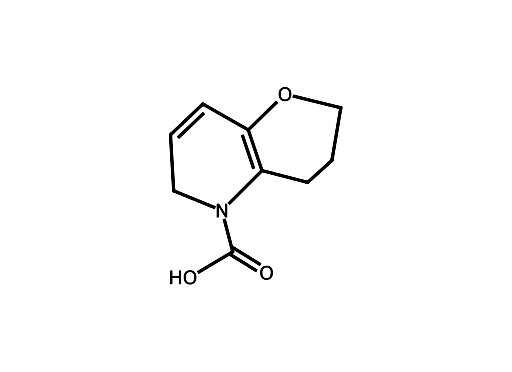 O=C(O)N1CC=CC2=C1CCCO2